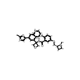 Cc1ncc(-c2cc(C3(NC(=O)c4cc(OC[C@@H]5CCN5C)ccc4C)COC3)c3cccnc3c2)o1